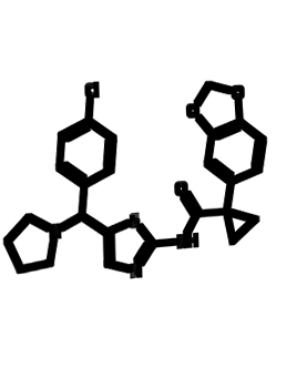 O=C(Nc1ncc(C(c2ccc(Cl)cc2)N2CCCC2)s1)C1(c2ccc3c(c2)OCO3)CC1